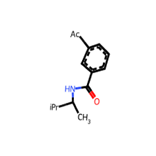 CC(=O)c1cccc(C(=O)NC(C)C(C)C)c1